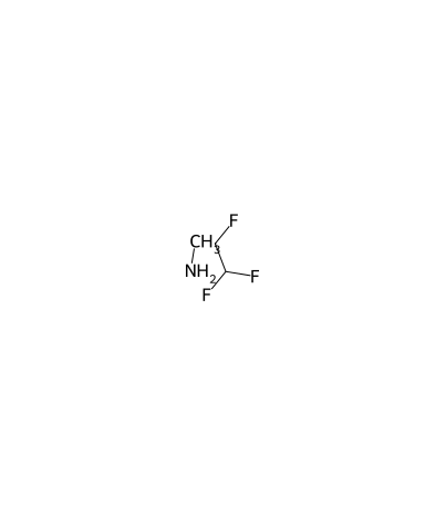 CN.FCC(F)F